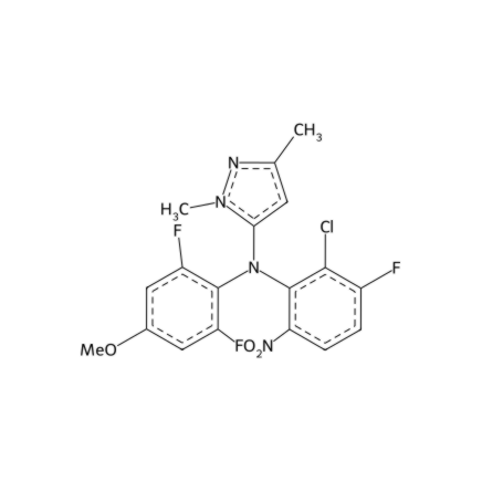 COc1cc(F)c(N(c2c([N+](=O)[O-])ccc(F)c2Cl)c2cc(C)nn2C)c(F)c1